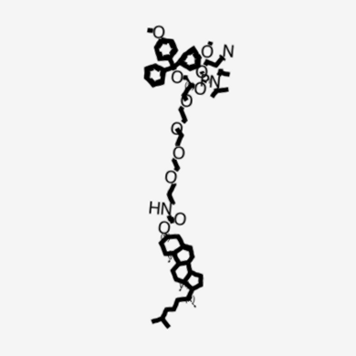 COc1ccc(C(OC[C@H](COCCOCCOCCOCCCNC(=O)O[C@H]2CC[C@@]3(C)C(=CCC4C5CCC([C@H](C)CCCC(C)C)[C@@]5(C)CCC43)C2)OP(OCCC#N)N(C(C)C)C(C)C)(c2ccccc2)c2ccc(OC)cc2)cc1